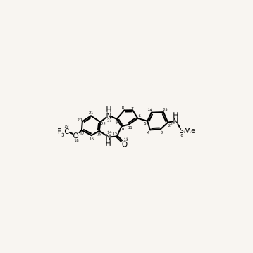 CSNc1ccc(-c2ccc3c(c2)C(=O)Nc2cc(OC(F)(F)F)ccc2N3)cc1